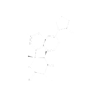 CN1C(=N)N[C@](C)(c2cccc(O)c2)[C@@H](c2ccc(N3CCCC3=O)cc2)C1=O